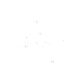 CCCO[Si](OCCC)(OCCC)C(C)[Si](C)(C)O[SiH](C)C